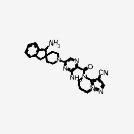 N#Cc1cnn2c1N(C(=O)c1ncc(N3CCC4(CC3)Cc3ccccc3C4N)nc1N)CCC2